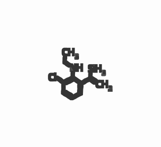 C=C([SiH3])c1cccc(Cl)c1NCC